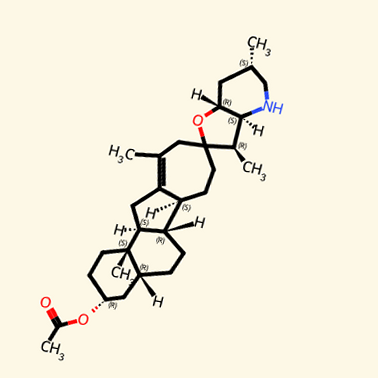 CC(=O)O[C@@H]1CC[C@@]2(C)[C@H](CC[C@H]3[C@@H]4CCC5(CC(C)=C4C[C@@H]32)O[C@@H]2C[C@H](C)CN[C@H]2[C@H]5C)C1